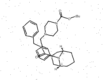 CC(C)(C)OC(=O)N1CCN(Cc2cccc(N3[C@@H]4CCC[C@H]3CN(C(=O)OCc3ccccc3)C4)c2)CC1